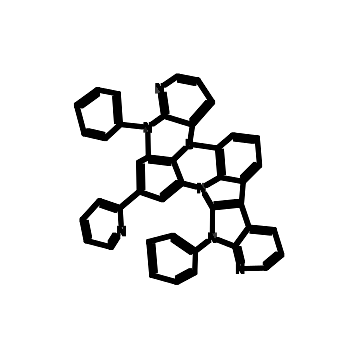 c1ccc(N2c3cc(-c4ccccn4)cc4c3B(c3cccnc32)c2cccc3c5c6cccnc6n(-c6ccccc6)c5n-4c23)cc1